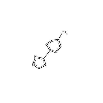 Cc1ccc(-c2ccsn2)cc1